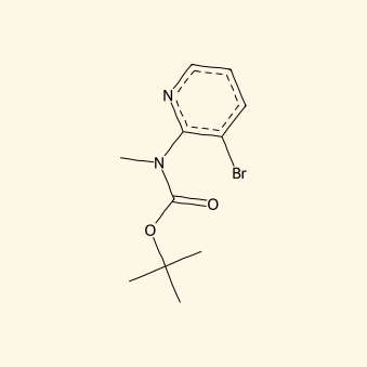 CN(C(=O)OC(C)(C)C)c1ncccc1Br